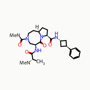 CNC(=O)N1CC[C@H]2CC[C@@H](C(=O)N[C@H]3C[C@H](c4ccccc4)C3)N2C(=O)[C@@H](NC(=O)[C@H](C)NC)C1